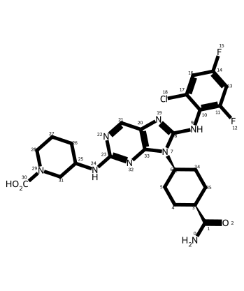 NC(=O)[C@H]1CC[C@@H](n2c(Nc3c(F)cc(F)cc3Cl)nc3cnc(NC4CCCN(C(=O)O)C4)nc32)CC1